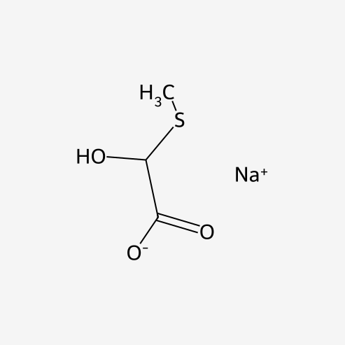 CSC(O)C(=O)[O-].[Na+]